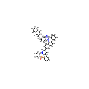 O=P(c1ccccc1)(c1ccccc1)c1ccc(-c2ccc3c(ccc4c5ccccc5c5nc6cc(Cc7ccc8ccccc8c7)ccc6n5c34)c2)cn1